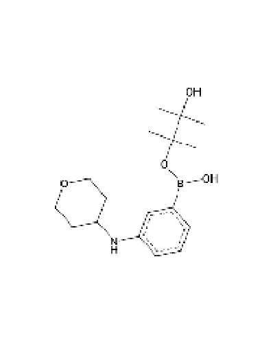 CC(C)(O)C(C)(C)OB(O)c1cccc(NC2CCOCC2)c1